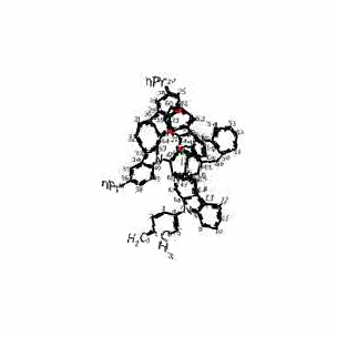 C=C/C=C\C(=C/C)n1c2ccccc2c2cc(-c3cccc(-n4c5ccc(CCC)cc5c5ccc6c7cc(CCC)ccc7n(C7=CC8=C(CC=C7)Cc7ccccc7N8c7ccccc7)c6c54)n3)ncc21